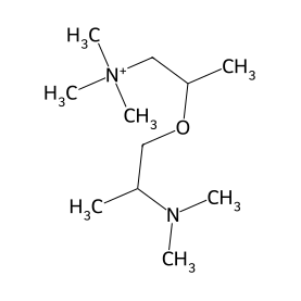 CC(C[N+](C)(C)C)OCC(C)N(C)C